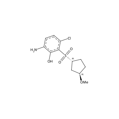 CO[C@@H]1CC[C@@H](S(=O)(=O)c2c(Cl)ccc(N)c2O)C1